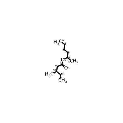 CCCCC(C)OC(=O)CC(C)CC